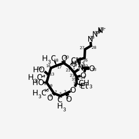 CC[C@H]1OC(=O)[C@H](C)C(=O)[C@H](C)[C@@H](O)[C@@](C)(O)C[C@@H](C)C(=O)[C@H](C)[C@H]2N(CCCCN=[N+]=[N-])C(=O)O[C@]12C